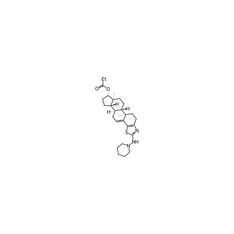 CCC(=O)O[C@H]1CC[C@H]2[C@@H]3CC=C4c5sc(NN6CCCCC6)nc5CC[C@]4(C)[C@H]3CC[C@]12C